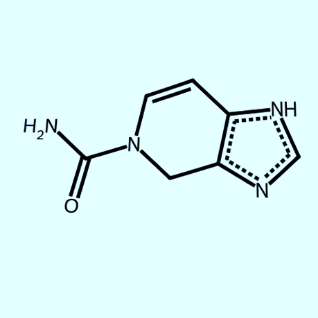 NC(=O)N1C=Cc2[nH]cnc2C1